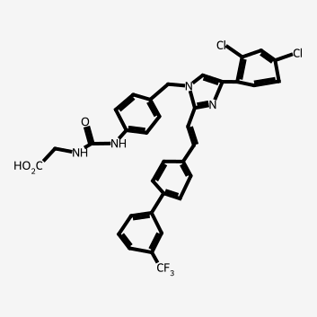 O=C(O)CNC(=O)Nc1ccc(Cn2cc(-c3ccc(Cl)cc3Cl)nc2C=Cc2ccc(-c3cccc(C(F)(F)F)c3)cc2)cc1